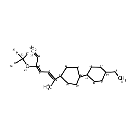 C=C/C(=C\C=C(/C)C1CCC(C2CCC(CC)CC2)CC1)OC(F)(F)F